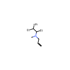 C=CCN(C)C(CC)C(CC)CCC